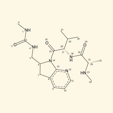 CNC(=O)NCC1Cc2cccnc2N1C(=O)[C@@H](NC(=O)[C@H](C)NC)C(C)C